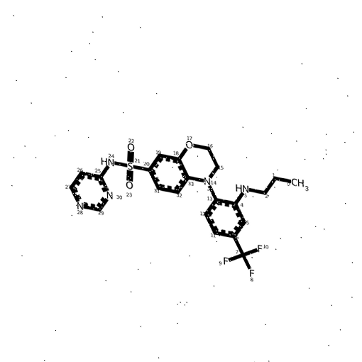 CCCNc1cc(C(F)(F)F)ccc1N1CCOc2cc(S(=O)(=O)Nc3ccncn3)ccc21